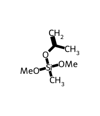 C=C(C)O[Si](C)(OC)OC